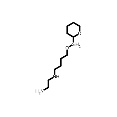 NCCNCCCCO[SiH2]C1CCCCO1